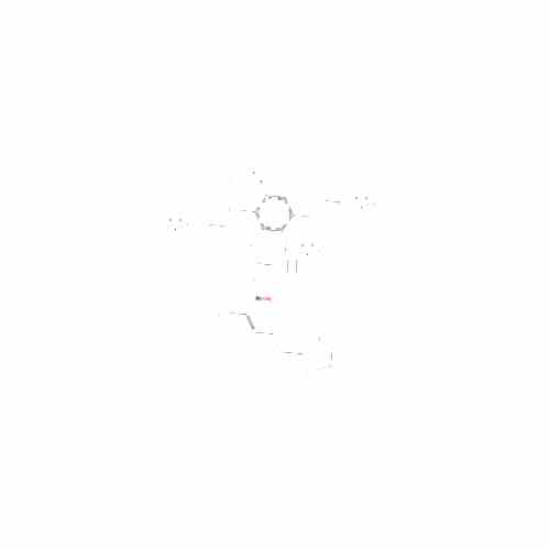 COCOc1cc([N+](=O)[O-])c(OCOC)c(CC(C)OC(=O)/C(Br)=C\CCC2OCCO2)c1OC